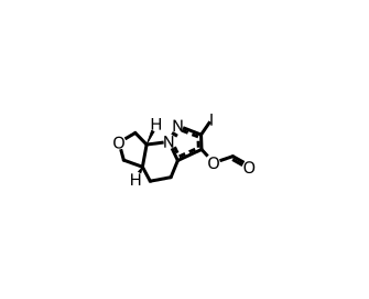 O=COc1c(I)nn2c1CC[C@@H]1COC[C@@H]12